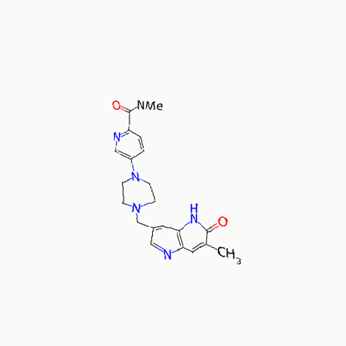 CNC(=O)c1ccc(N2CCN(Cc3cnc4cc(C)c(=O)[nH]c4c3)CC2)cn1